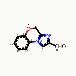 O=Cc1cn2c(n1)COc1ccccc1-2